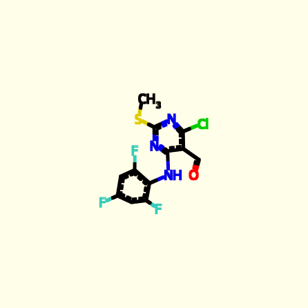 CSc1nc(Cl)c(C=O)c(Nc2c(F)cc(F)cc2F)n1